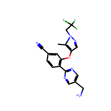 Cc1c(Oc2cc(C#N)ccc2-c2ncc(CN)cn2)cnn1CC(F)(F)F